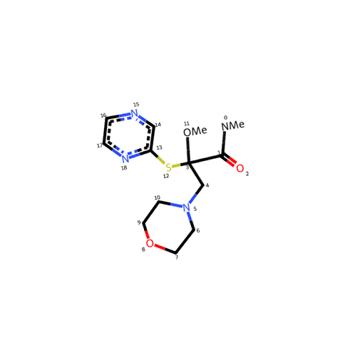 CNC(=O)C(CN1CCOCC1)(OC)Sc1cnccn1